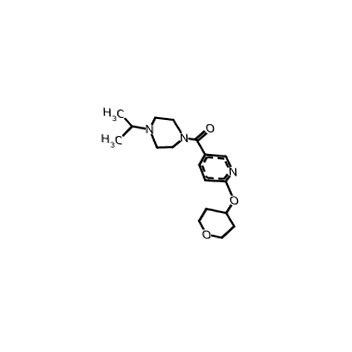 CC(C)N1CCN(C(=O)c2ccc(OC3CCOCC3)nc2)CC1